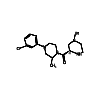 CC(C)N1CCN[C@@H](C(=O)N2CCN(c3cccc(Cl)c3)CC2C)C1